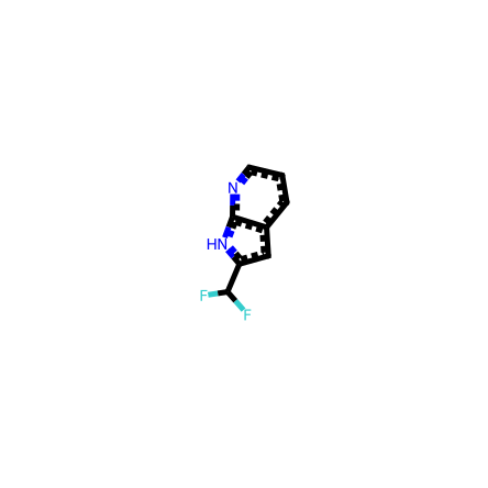 FC(F)c1cc2cccnc2[nH]1